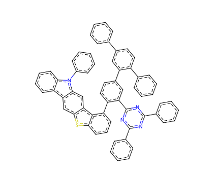 c1ccc(-c2ccc(-c3ccccc3)c(-c3ccc(-c4cccc5sc6cc7c8ccccc8n(-c8ccccc8)c7cc6c45)c(-c4nc(-c5ccccc5)nc(-c5ccccc5)n4)c3)c2)cc1